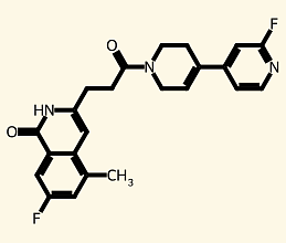 Cc1cc(F)cc2c(=O)[nH]c(CCC(=O)N3CC=C(c4ccnc(F)c4)CC3)cc12